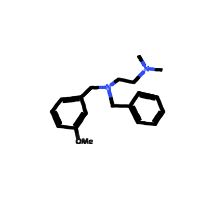 COc1cccc(CN(CCN(C)C)Cc2ccccc2)c1